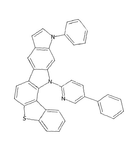 c1ccc(-c2ccc(-n3c4cc5c(ccn5-c5ccccc5)cc4c4ccc5sc6ccccc6c5c43)nc2)cc1